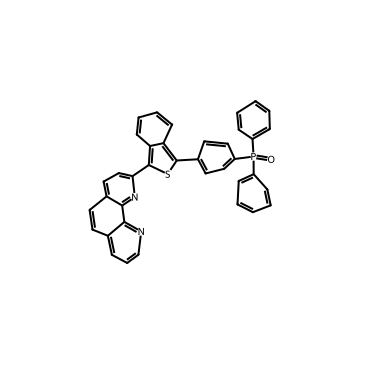 O=P(c1ccccc1)(c1ccccc1)c1ccc(-c2sc(-c3ccc4ccc5cccnc5c4n3)c3ccccc23)cc1